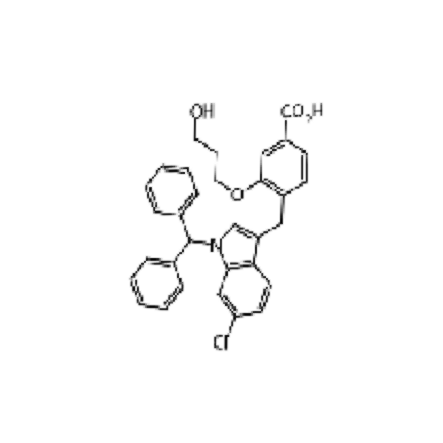 O=C(O)c1ccc(Cc2cn(C(c3ccccc3)c3ccccc3)c3cc(Cl)ccc23)c(OCCCO)c1